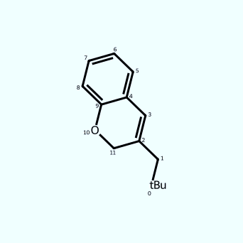 CC(C)(C)CC1=Cc2ccccc2OC1